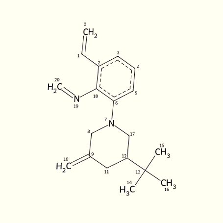 C=Cc1cccc(N2CC(=C)CC(C(C)(C)C)C2)c1N=C